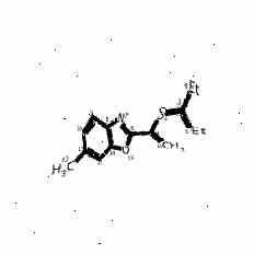 C=C(SC(CC)CC)c1nc2ccc(C)cc2o1